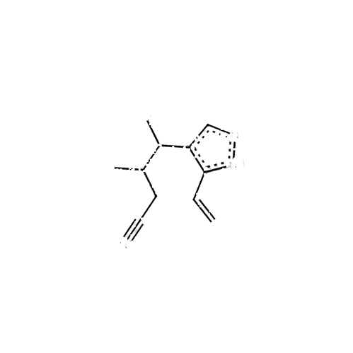 C=Cc1[nH]ncc1C(C)C(C)CC#N